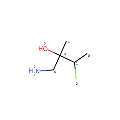 CC(F)C(C)(O)CN